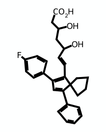 O=C(O)CC(O)CC(O)C=CC1=C(c2ccc(F)cc2)C=C(c2ccccc2)C12CCCC2